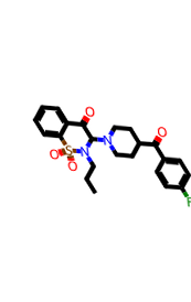 CCCN1C(N2CCC(C(=O)c3ccc(F)cc3)CC2)C(=O)c2ccccc2S1(=O)=O